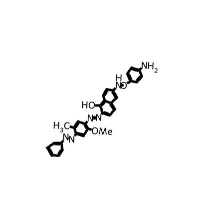 COc1cc(N=Nc2ccccc2)c(C)cc1N=Nc1ccc2cc(NOc3ccc(N)cc3)ccc2c1O